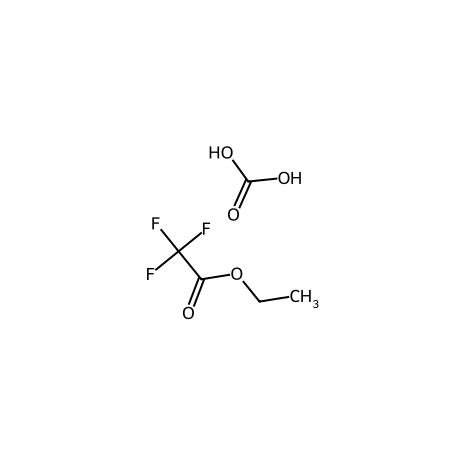 CCOC(=O)C(F)(F)F.O=C(O)O